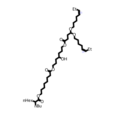 CC/C=C\CCCCOC(CCC(=O)OCCCC(O)CCCOC(=O)CCCCCCCOC(=O)C(CCCC)CCCCCC)OCCCC/C=C\CC